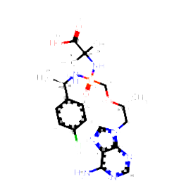 C[C@H](Cn1cnc2c(N)ncnc21)OCP(=O)(N[C@H](C)c1ccc(Cl)cc1)NC(C)(C)C(=O)O